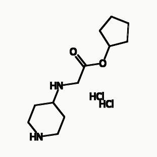 Cl.Cl.O=C(CNC1CCNCC1)OC1CCCC1